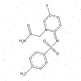 Cc1ccc(S(=O)(=O)/N=c2/ccc(F)cn2CC(N)=O)cc1